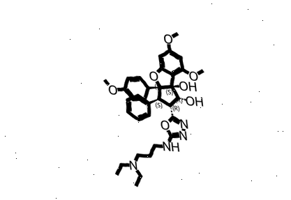 CCN(CC)CCCNc1nnc([C@H]2[C@@H](O)[C@@]3(O)c4c(OC)cc(OC)cc4O[C@@]3(C3C=CC(OC)=CC3)[C@@H]2c2ccccc2)o1